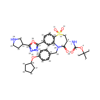 CC(C)(C)OC(=O)N[C@H]1CS(=O)(=O)c2ccc(-c3nnc(C4CCNC4)o3)cc2N(Cc2ccc(OC3CCCC3)cc2)C1=O